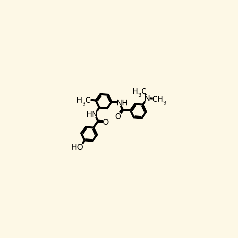 CC1=CC=C(NC(=O)c2cccc(N(C)C)c2)CC1NC(=O)c1ccc(O)cc1